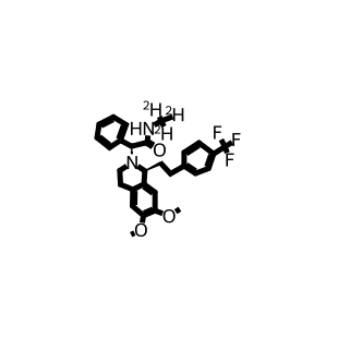 [2H]C([2H])([2H])NC(=O)[C@@H](c1ccccc1)N1CCc2cc(OC)c(OC)cc2[C@@H]1CCc1ccc(C(F)(F)F)cc1